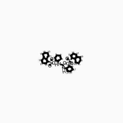 O=C(Nc1ccccc1OS(=O)(=O)c1cccc2ccccc12)Nc1ccccc1OS(=O)(=O)c1cccc2ccccc12